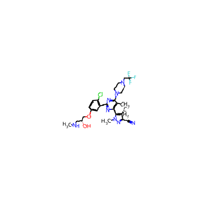 CNC[C@@H](O)COc1ccc(Cl)c(-c2nc(-c3c(C)c(C#N)nn3C)c(C)c(N3CCN(CC(F)(F)F)CC3)n2)c1